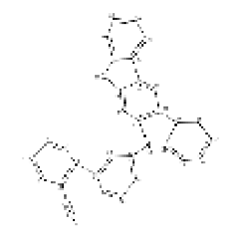 N#Cc1cnccc1-c1cccc(-n2c3ccccc3c3cc4c(cc32)oc2ccccc24)c1